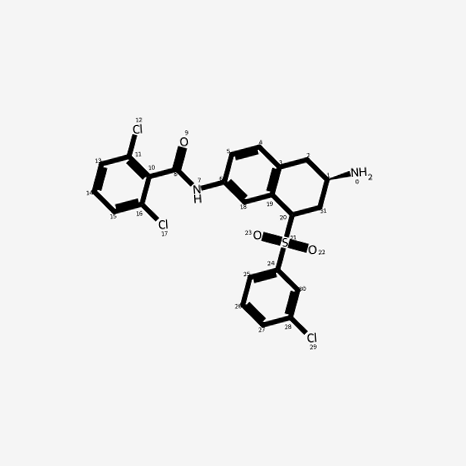 N[C@@H]1Cc2ccc(NC(=O)c3c(Cl)cccc3Cl)cc2C(S(=O)(=O)c2cccc(Cl)c2)C1